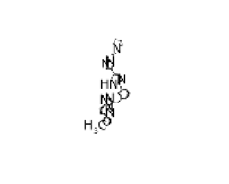 COc1ccc2nnc(Cc3cccc(C4=NC=C(c5cnn(CCN6CCCC6)c5)CN4)c3)n2n1